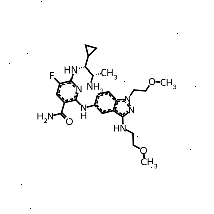 COCCNc1nn(CCOC)c2ccc(Nc3nc(N[C@H](C4CC4)[C@H](C)N)c(F)cc3C(N)=O)cc12